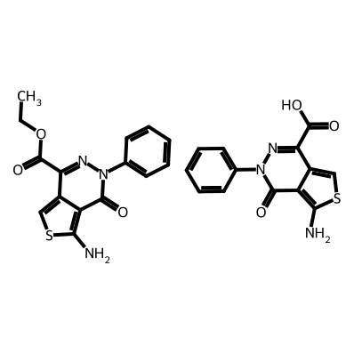 CCOC(=O)c1nn(-c2ccccc2)c(=O)c2c(N)scc12.Nc1scc2c(C(=O)O)nn(-c3ccccc3)c(=O)c12